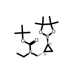 CCN(C[C@H]1C[C@@H]1B1OC(C)(C)C(C)(C)O1)C(=O)OC(C)(C)C